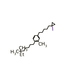 CCC(C)(C)CCCCCc1ccc(CCCCCC2(I)CC2)cc1C